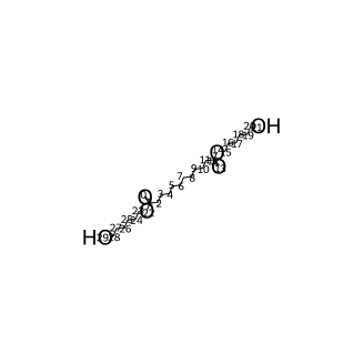 O=C(CCCCCCCCCCC(=O)OCCCCCCO)OCCCCCCO